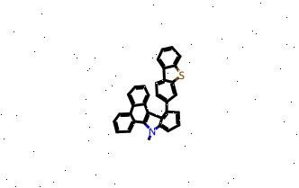 Cn1c2cccc(-c3ccc4c(c3)sc3ccccc34)c2c2c3ccccc3c3ccccc3c21